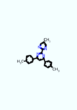 Cc1ccc(-c2cc(-c3ccc(C)cc3)nc(-c3ncc(C)cn3)n2)cc1